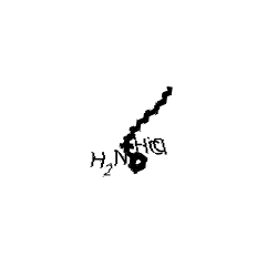 CCCCCCCCCCCCCC(C)(C)C(N)c1ccccc1.Cl.[C]